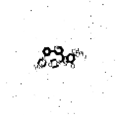 CC1(C)CC(=O)c2sc(N3CCOCC3)c(-c3ccnc(-c4cccc(N5CCNCC5)c4)c3)c2C1